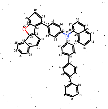 c1ccc(-c2ccc(-c3ccc(N(c4ccc(-c5cccc6oc7c8ccccc8ccc7c56)cc4)c4cccc5ccccc45)cc3)cc2)cc1